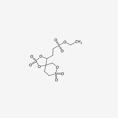 CCOS(=O)(=O)CCC1OS(=O)(=O)OC12CCS(=O)(=O)OC2